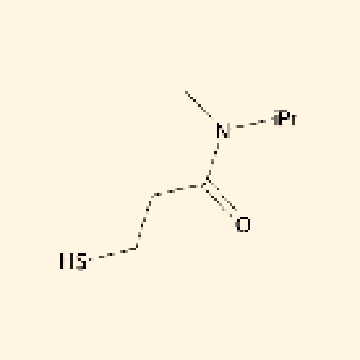 CC(C)N(C)C(=O)CCS